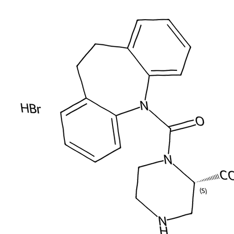 Br.O=C(O)[C@@H]1CNCCN1C(=O)N1c2ccccc2CCc2ccccc21